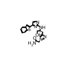 NC(=O)Cn1cnc(C[C@@H](CO)Nc2nccc(-c3cc4ccccc4s3)n2)c1